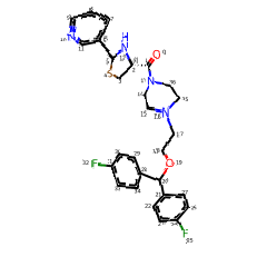 O=C([C@@H]1CSC(c2cccnc2)N1)N1CCN(CCOC(c2ccc(F)cc2)c2ccc(F)cc2)CC1